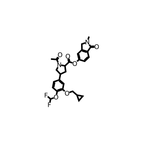 CC(=O)N1CC(c2ccc(OC(F)F)c(OCC3CC3)c2)CC1C(=O)Oc1ccc2c(c1)CN(C)C2=O